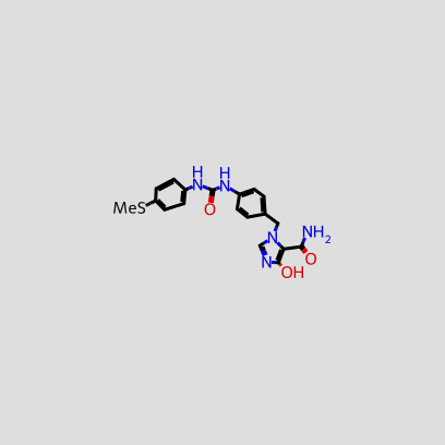 CSc1ccc(NC(=O)Nc2ccc(Cn3cnc(O)c3C(N)=O)cc2)cc1